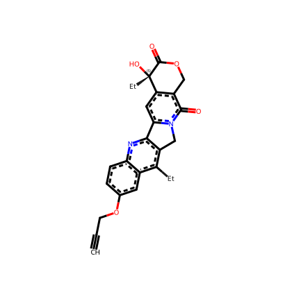 C#CCOc1ccc2nc3c(c(CC)c2c1)Cn1c-3cc2c(c1=O)COC(=O)[C@]2(O)CC